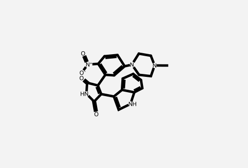 CN1CCN(c2ccc([N+](=O)[O-])c(C3=C(c4c[nH]c5ccccc45)C(=O)NC3=O)c2)CC1